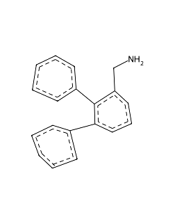 NCc1cccc(-c2ccccc2)c1-c1ccccc1